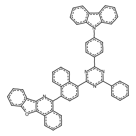 c1ccc(-c2nc(-c3ccc(-n4c5ccccc5c5ccccc54)cc3)nc(-c3ccc(-c4nc5c6ccccc6oc5c5ccccc45)c4ccccc34)n2)cc1